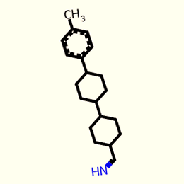 Cc1ccc(C2CCC(C3CCC(C=N)CC3)CC2)cc1